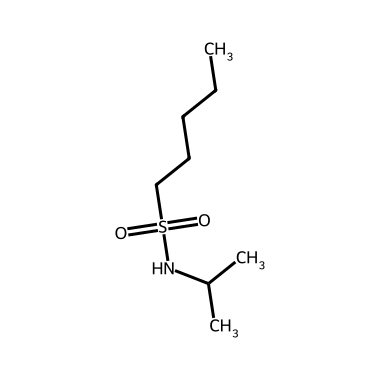 CCCCCS(=O)(=O)NC(C)C